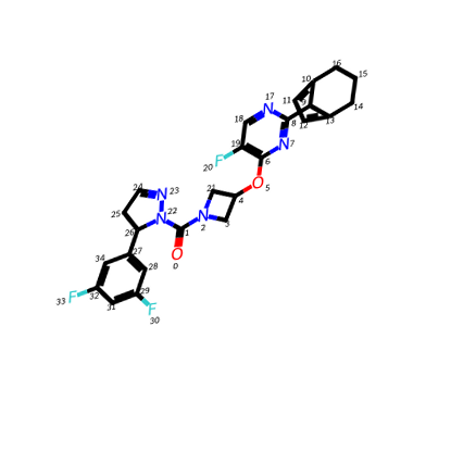 O=C(N1CC(Oc2nc(C3C4=CC=C3CCC4)ncc2F)C1)N1N=CCC1c1cc(F)cc(F)c1